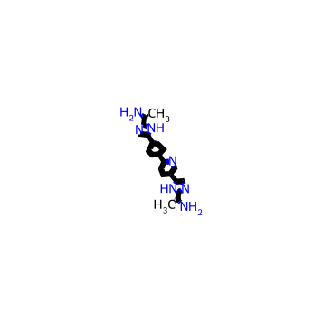 C[C@H](N)c1ncc(-c2ccc(-c3ccc(-c4cnc([C@H](C)N)[nH]4)cn3)cc2)[nH]1